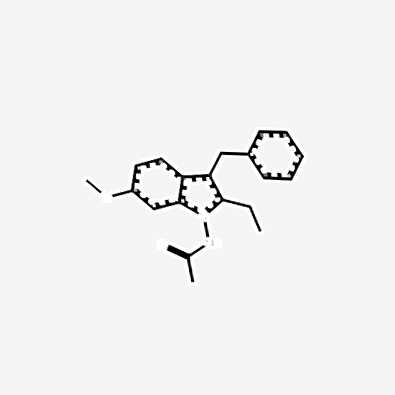 CCc1c(Cc2ccccc2)c2ccc(OC)cc2n1NC(C)=O